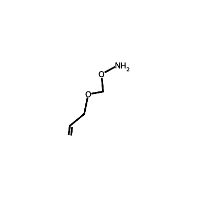 C=CCOCON